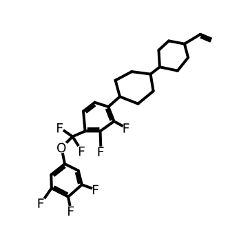 C=CC1CCC(C2CCC(c3ccc(C(F)(F)Oc4cc(F)c(F)c(F)c4)c(F)c3F)CC2)CC1